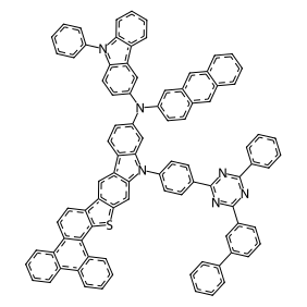 c1ccc(-c2cccc(-c3nc(-c4ccccc4)nc(-c4ccc(-n5c6cc(N(c7ccc8cc9ccccc9cc8c7)c7ccc8c(c7)c7ccccc7n8-c7ccccc7)ccc6c6cc7c(cc65)sc5c7ccc6c7ccccc7c7ccccc7c65)cc4)n3)c2)cc1